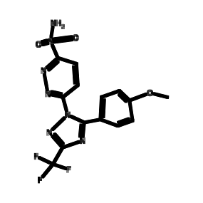 COc1ccc(-c2nc(C(F)(F)F)nn2-c2ccc(S(N)(=O)=O)nn2)cc1